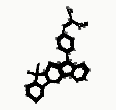 CC1(C)c2ccccc2-c2cc3c4ccccc4n(-c4ccc(C=C(C#N)C(=O)O)cc4)c3cc21